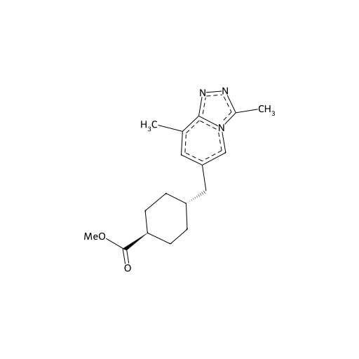 COC(=O)[C@H]1CC[C@H](Cc2cc(C)c3nnc(C)n3c2)CC1